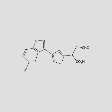 O=CCC(C(=O)O)c1cc(-c2coc3ccc(F)cc23)cs1